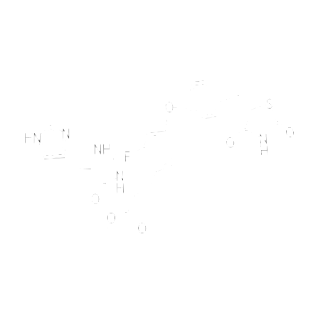 COC(=O)C(Cc1ccc(Oc2ccc(C=C3SC(=O)NC3=O)cc2)cc1F)NC(=O)C(N)Cc1c[nH]cn1